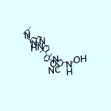 Cc1c(Nc2nccc3cc(CN4CC[C@@H](C)C4)cnc23)cccc1-c1cccc(-c2nc3cc(CN[C@@H](C)CO)cc(C#N)c3o2)c1C